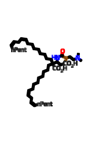 CCCCC/C=C\C/C=C\CCCCCCCCC(CCCCCCCC/C=C\C/C=C\CCCCC)(C(=O)O)C(CC(=O)O)NC(=O)SCCN(C)C